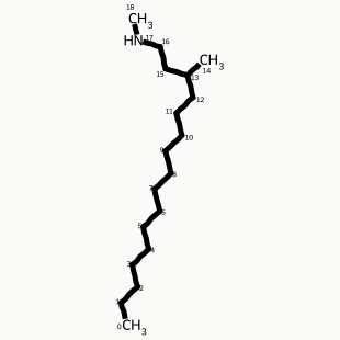 CCCCCCCCCCCCCC(C)CCNC